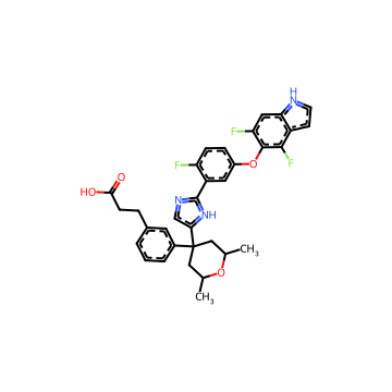 CC1CC(c2cccc(CCC(=O)O)c2)(c2cnc(-c3cc(Oc4c(F)cc5[nH]ccc5c4F)ccc3F)[nH]2)CC(C)O1